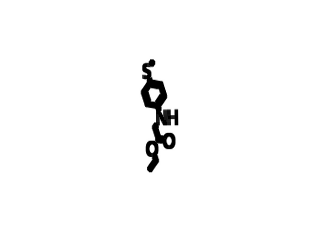 CCOC(=O)CNc1ccc(SC)cc1